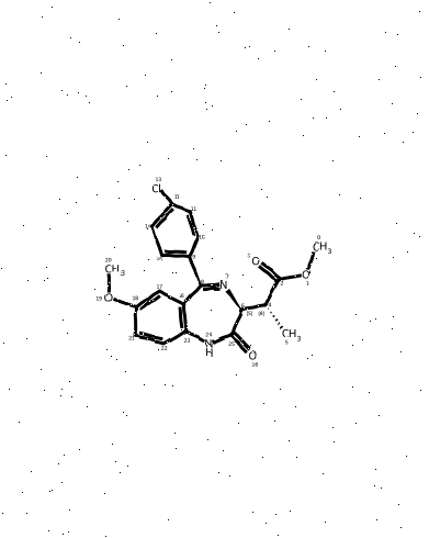 COC(=O)[C@H](C)[C@@H]1N=C(c2ccc(Cl)cc2)c2cc(OC)ccc2NC1=O